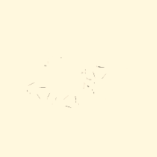 CCOC(=O)Cc1cccc([C@@]2(C)CCCC(C)(C)CS(=O)(=O)CCc3c(c(F)cc4[nH]ccc34)C(=O)c3ccnc(c3)-c3nc2nn3C)c1